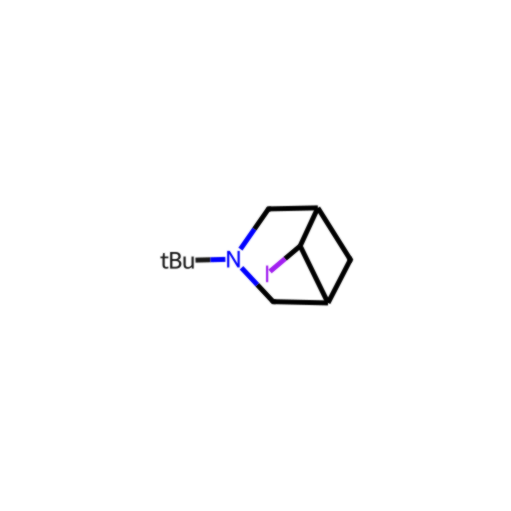 CC(C)(C)N1CC2CC(C1)C2I